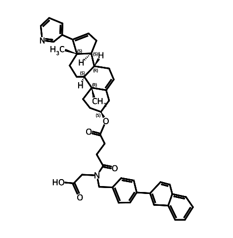 C[C@]12CC[C@H](OC(=O)CCC(=O)N(CC(=O)O)Cc3ccc(-c4ccc5ccccc5c4)cc3)CC1=CC[C@@H]1[C@@H]2CC[C@]2(C)C(c3cccnc3)=CC[C@@H]12